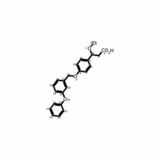 CCOC(CC(=O)O)c1ccc(OCc2cccc(Oc3ccccc3)c2)cc1